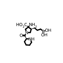 N[C@@]1(C(=O)O)CN(C(=O)[C@@H]2CCCCN2)C[C@@H]1CCCB(O)O